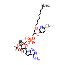 CCCCCCCCCCCCCCCCCCOC[C@H](COP(=O)(O)OC[C@@]1(C#N)O[C@@H](c2ccc3c(N)ncnn23)[C@@H]2OC(C)(C)O[C@@H]21)Oc1ccc(C#N)nc1